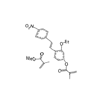 C=C(C)C(=O)OC.C=C(C)C(=O)Oc1ccc(/C=C/c2ccc([N+](=O)[O-])cc2)c(OCC)c1